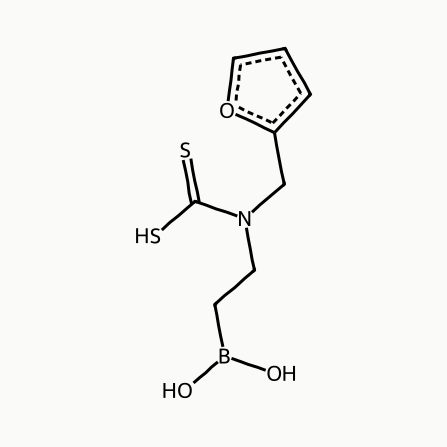 OB(O)CCN(Cc1ccco1)C(=S)S